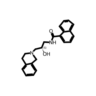 O=C(NC[C@H](O)CN1CCc2ccccc2C1)c1cccc2ccccc12